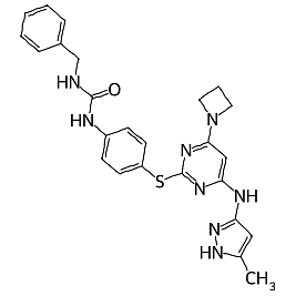 Cc1cc(Nc2cc(N3CCC3)nc(Sc3ccc(NC(=O)NCc4ccccc4)cc3)n2)n[nH]1